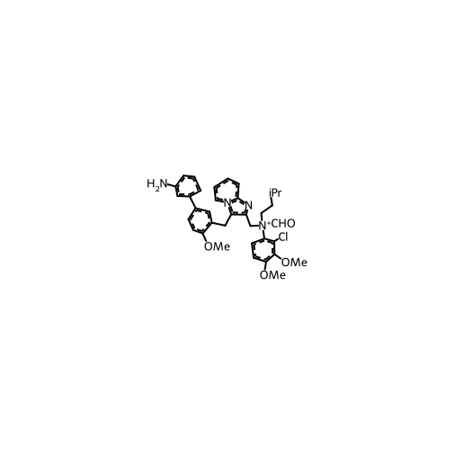 COc1ccc(-c2cccc(N)c2)cc1Cc1c(C[N+](C=O)(CCC(C)C)c2ccc(OC)c(OC)c2Cl)nc2ccccn12